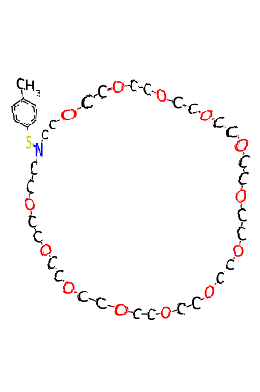 Cc1ccc(SN2CCOCCOCCOCCOCCOCCOCCOCCOCCOCCOCCOCCOCCOCC2)cc1